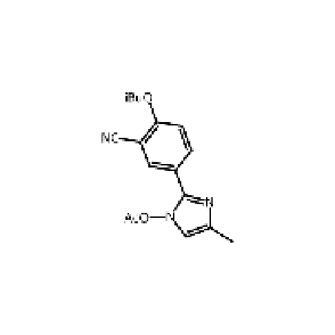 CC(=O)On1cc(C)nc1-c1ccc(OCC(C)C)c(C#N)c1